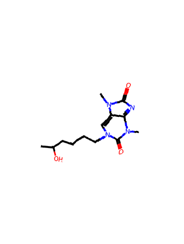 CC(O)CCCCn1cc2n(C)c(=O)nc-2n(C)c1=O